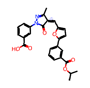 CC1=NN(c2cccc(C(=O)O)c2)C(=O)/C1=C\c1ccc(-c2cccc(C(=O)OC(C)C)c2)o1